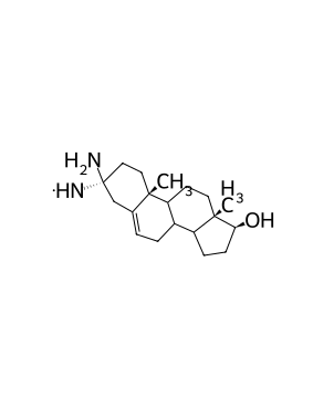 C[C@]12CC[C@]([NH])(N)CC1=CCC1C2CC[C@@]2(C)C1CC[C@@H]2O